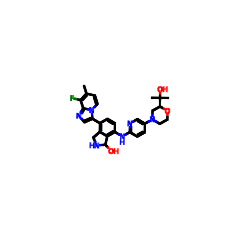 Cc1ccn2c(-c3ccc(Nc4ccc(N5CCO[C@H](C(C)(C)O)C5)cn4)c4c3CNC4O)cnc2c1F